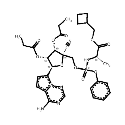 CCC(=O)O[C@H]1[C@H](c2ccc3c(N)ncnn23)O[C@](C#N)(CO[P@](=O)(N[C@@H](C)C(=O)OCC2CCC2)Oc2ccccc2)[C@H]1OC(=O)CC